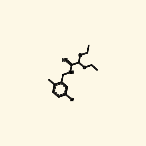 CCOC(OCC)C(=N)NCc1cc(Br)ccc1C